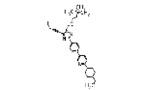 CCC1CCC(c2ccc(-c3ccc(-c4nc(C#CCF)n(COCC[Si](C)(C)C)n4)cc3)cn2)CC1